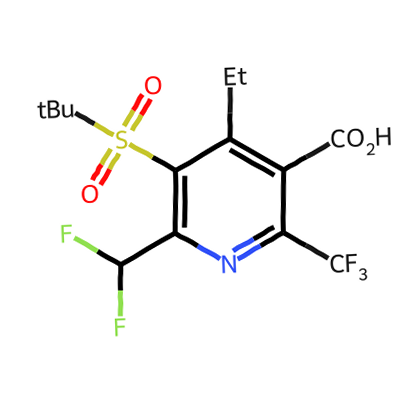 CCc1c(C(=O)O)c(C(F)(F)F)nc(C(F)F)c1S(=O)(=O)C(C)(C)C